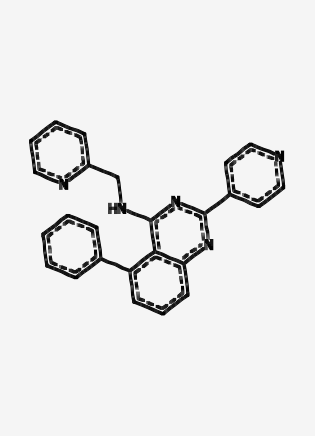 c1ccc(-c2cccc3nc(-c4ccncc4)nc(NCc4ccccn4)c23)cc1